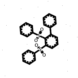 O=S(=O)(c1ccccc1)c1cccc(-c2ccccc2)c1S(=O)(=O)c1ccccc1